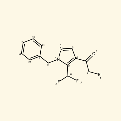 O=C(CBr)c1cnn(Cc2ccccc2)c1C(F)F